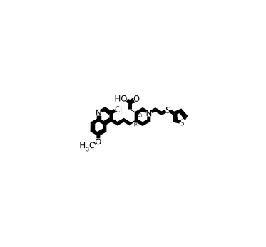 COc1ccc2ncc(Cl)c(CCC[C@@H]3CCN(CCSc4ccsc4)C[C@H]3CC(=O)O)c2c1